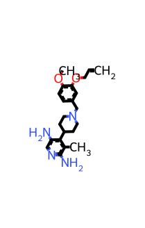 C=CCOc1cc(CN2CCC(c3c(N)cnc(N)c3C)CC2)ccc1OC